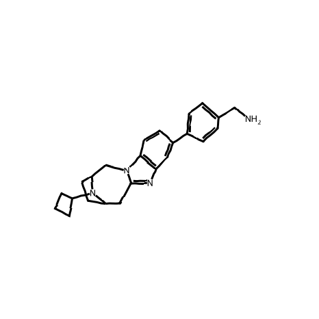 NCc1ccc(-c2ccc3c(c2)nc2n3CC3CCC(C2)N3C2CCC2)cc1